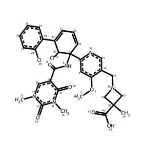 COc1cc(C2(NC(=O)c3cn(C)c(=O)n(C)c3=O)C=CC=C(c3ccccc3Cl)C2Cl)ncc1CN1CC(C)(C(=O)O)C1